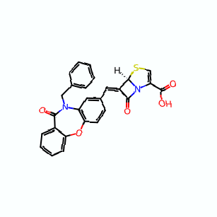 O=C(O)C1=CS[C@@H]2C(=Cc3ccc4c(c3)N(Cc3ccccc3)C(=O)c3ccccc3O4)C(=O)N12